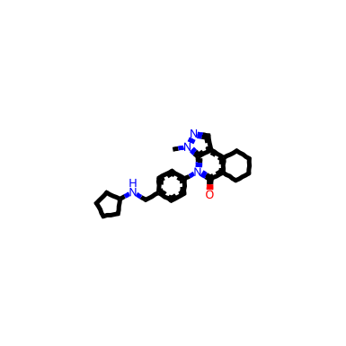 Cn1ncc2c3c(c(=O)n(-c4ccc(CNC5CCCC5)cc4)c21)CCCC3